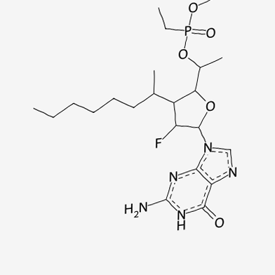 CCCCCCC(C)C1C(F)C(n2cnc3c(=O)[nH]c(N)nc32)OC1C(C)OP(=O)(CC)OC